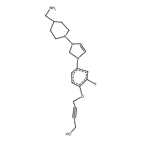 NCC1CCN(N2C=CN(c3ccc(OCC#CCO)c(F)c3)C2)CC1